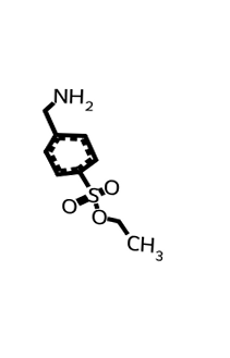 CCOS(=O)(=O)c1ccc(CN)cc1